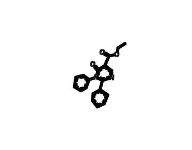 CCOC(=O)c1cnc(-c2ccccc2)n(-c2ccccc2)c1=O